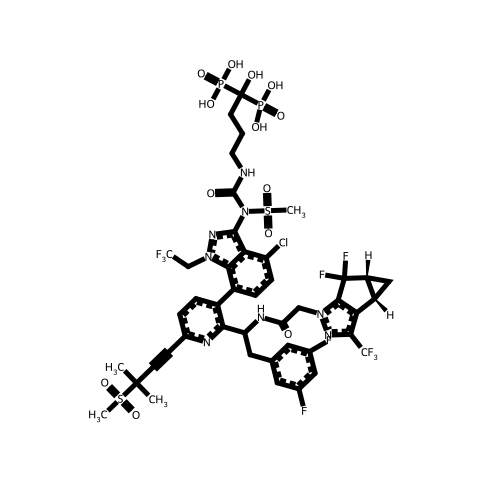 CC(C)(C#Cc1ccc(-c2ccc(Cl)c3c(N(C(=O)NCCCC(O)(P(=O)(O)O)P(=O)(O)O)S(C)(=O)=O)nn(CC(F)(F)F)c23)c(C(Cc2cc(F)cc(F)c2)NC(=O)Cn2nc(C(F)(F)F)c3c2C(F)(F)[C@@H]2C[C@H]32)n1)S(C)(=O)=O